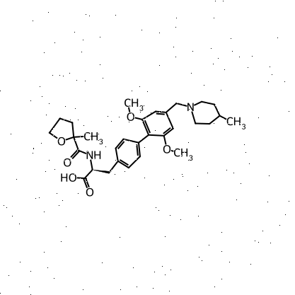 COc1cc(CN2CCC(C)CC2)cc(OC)c1-c1ccc(C[C@H](NC(=O)C2(C)CCCO2)C(=O)O)cc1